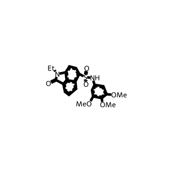 CCN1C(=O)c2cccc3c(S(=O)(=O)Nc4cc(OC)c(OC)c(OC)c4)ccc1c23